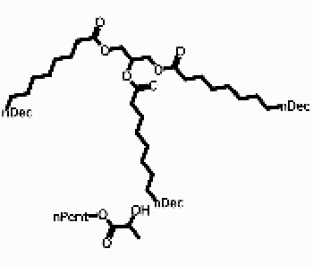 CCCCCCCCCCCCCCCCCC(=O)OCC(COC(=O)CCCCCCCCCCCCCCCCC)OC(=O)CCCCCCCCCCCCCCCCC.CCCCCOC(=O)C(C)O